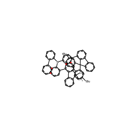 CC(C)(C)c1ccc2c(c1)C1(c3cc(C(C)(C)C)ccc3-2)c2ccccc2-c2cccc(-c3ccc(N(c4ccccc4-c4ccccc4)c4ccccc4-c4cccc5c4-c4ccccc4C5(C)C)cc3)c21